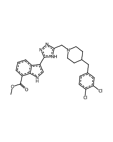 COC(=O)c1cccc2c(-c3nnc(CN4CCC(Cc5ccc(Cl)c(Cl)c5)CC4)[nH]3)c[nH]c12